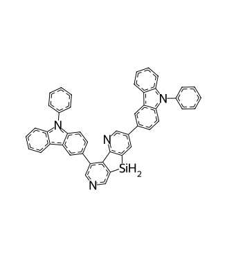 c1ccc(-n2c3ccccc3c3cc(-c4cnc5c(c4)[SiH2]c4cncc(-c6ccc7c(c6)c6ccccc6n7-c6ccccc6)c4-5)ccc32)cc1